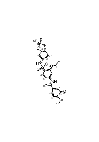 CCOc1cc(NC(=O)c2ccn(CC)c(=O)c2)ccc1S(=O)(=O)Nc1cccc(OC(F)(F)F)c1